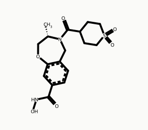 C[C@H]1COc2cc(C(=O)NO)ccc2CN1C(=O)C1CCS(=O)(=O)CC1